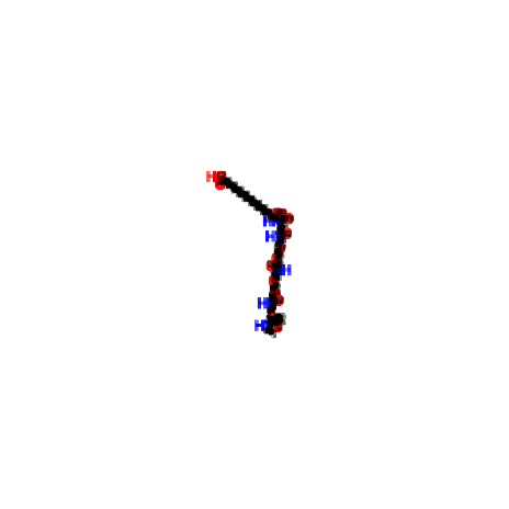 CC(C)(C)N[C@@H](CCCCNC(=O)COCCOCCNC(=O)COCCOCCNC(=O)CC[C@H](NC(=O)CCCCCCCCCCCCCCCCC(=O)O)C(=O)O)C(=O)C(C)(C)C